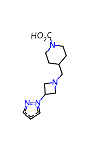 O=C(O)N1CCC(CN2CC(n3cccn3)C2)CC1